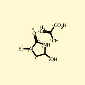 C=C(C)C(=O)O.CCN1CC(O)NC1=O